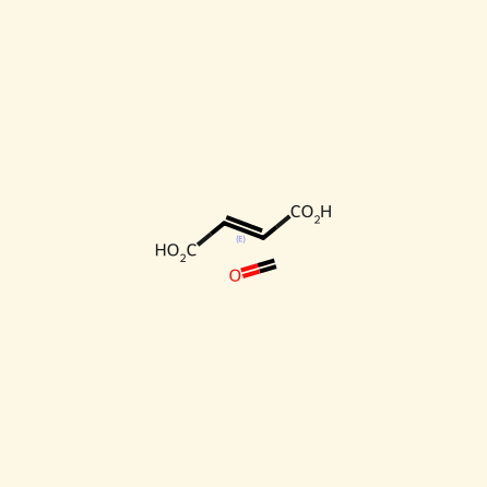 C=O.O=C(O)/C=C/C(=O)O